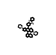 CN1c2ccccc2Sc2ccc(-c3c4cc(N5CCCCC5)ccc4c(-c4cccc5ccccc45)c4cc(N5CCCCC5)ccc34)cc21